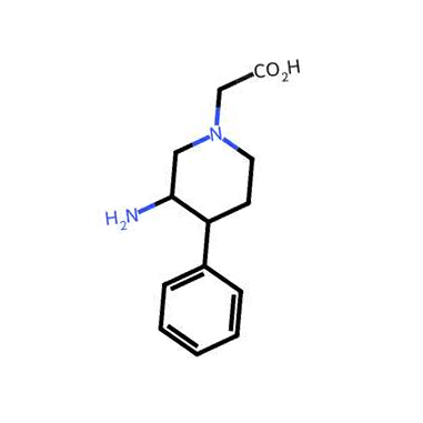 NC1CN(CC(=O)O)CCC1c1ccccc1